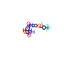 O=C1CO[C@H]2CCN(C(=O)N3CC4CC(OCc5ccc(C(F)(F)F)cc5F)CC4C3)C[C@H]2N1